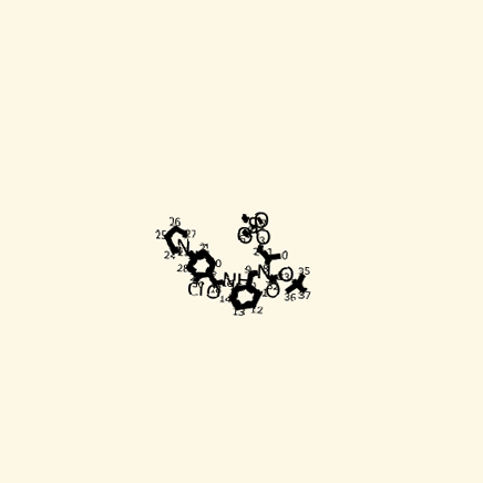 CC(COS(C)(=O)=O)N(Cc1ccccc1NC(=O)c1ccc(N2CCCC2)cc1Cl)C(=O)OC(C)(C)C